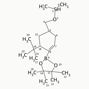 C[SiH](C)OCC1CC=C(B2OC(C)(C)C(C)(C)O2)C(C(C)(C)C)C1